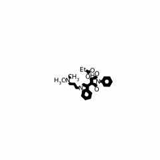 CCC(O)OC1=C(c2cn(CCCN(C)C)c3ccccc23)C(=O)N(c2ccccc2)C1=O